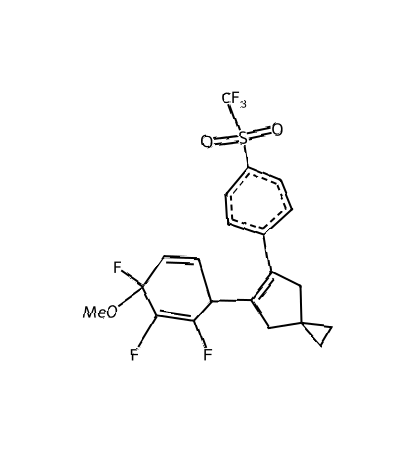 COC1(F)C=CC(C2=C(c3ccc(S(=O)(=O)C(F)(F)F)cc3)CC3(CC3)C2)C(F)=C1F